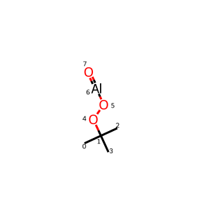 CC(C)(C)O[O][Al]=[O]